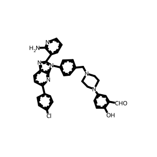 Nc1ncccc1-c1nc2ccc(-c3ccc(Cl)cc3)nc2n1-c1ccc(CN2CCN(c3ccc(O)c(C=O)c3)CC2)cc1